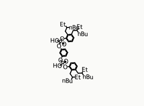 CCCCC(CC)Cc1cccc(OP(=O)(O)Oc2cccc(OP(=O)(O)Oc3cccc(CC(CC)CCCC)c3CC(CC)CCCC)c2)c1CC(CC)CCCC